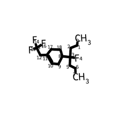 CCCC(F)(CCC)C1CC=C(CC(F)(F)F)CC1